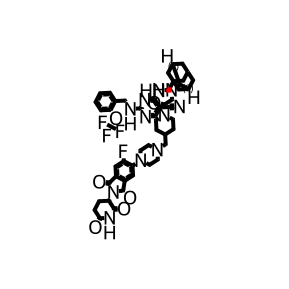 N#Cc1cnc(NCc2ccccc2OC(F)(F)F)nc1NCC12CC3C[C@H](C1)C(NCC(=O)N1CCC(CN4CCN(c5cc6c(cc5F)C(=O)N(C5CCC(=O)NC5=O)C6=O)CC4)CC1)[C@@H](C3)C2